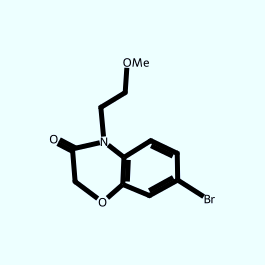 COCCN1C(=O)COc2cc(Br)ccc21